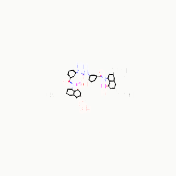 O=C(Nc1cccc(C(=O)Nc2cc(S(=O)(=O)O)cc3cc(SOOO)cc(O)c23)c1)Nc1cccc(C(=O)Nc2cc(S(=O)(=O)O)cc3cc(S(=O)(=O)O)cc(O)c23)c1